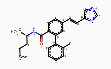 CSCC[C@H](NC(=O)c1ccc(C=Cc2c[nH]cn2)cc1-c1ccccc1C)C(=O)O